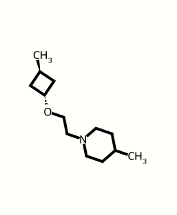 CC1CCN(CCO[C@H]2C[C@H](C)C2)CC1